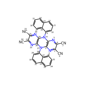 N#Cc1nc2c(nc1C#N)N(c1cccc3ccccc13)c1nc(C#N)c(C#N)nc1N2c1cccc2ccccc12